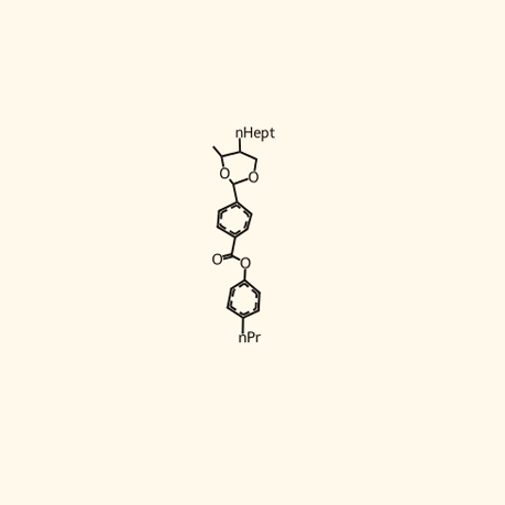 CCCCCCCC1COC(c2ccc(C(=O)Oc3ccc(CCC)cc3)cc2)OC1C